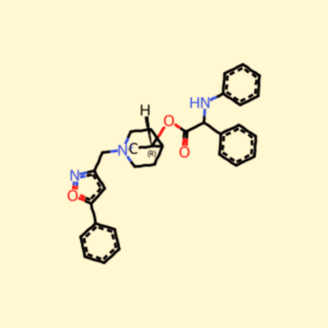 O=C(O[C@H]1C[N+]2(Cc3cc(-c4ccccc4)on3)CCC1CC2)C(Nc1ccccc1)c1ccccc1